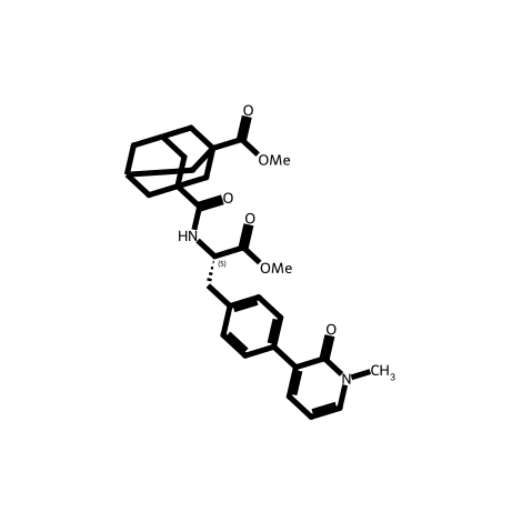 COC(=O)[C@H](Cc1ccc(-c2cccn(C)c2=O)cc1)NC(=O)C12CC3CC(C1)CC(C(=O)OC)(C3)C2